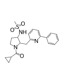 CS(=O)(=O)NC1CCN(C(=O)C2CC2)C1Cc1cccc(-c2ccccc2)n1